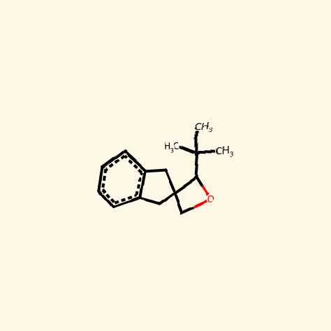 CC(C)(C)C1OCC12Cc1ccccc1C2